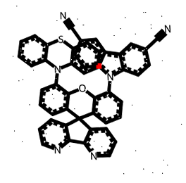 N#Cc1ccc2c(c1)c1cc(C#N)ccc1n2-c1cccc2c1Oc1c(N3c4ccccc4Sc4ccccc43)cccc1C21c2cccnc2-c2ncccc21